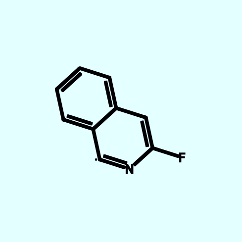 Fc1cc2ccccc2[c]n1